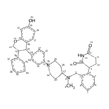 CN(Cc1ccccc1C1CCC(=O)NC1=O)C1CCN(c2ccc(C3c4ccc(O)cc4OCC3c3ccccc3)cc2)CC1